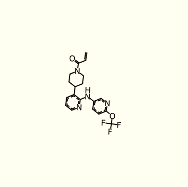 C=CC(=O)N1CCC(c2cccnc2Nc2ccc(OC(F)(F)F)nc2)CC1